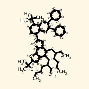 CCCCC(CC)Cc1c(CC(CC)CCCC)c2cc(C(C)(C)C)sc2c2sc(-c3ccc(C(C)(C)C)c4nc(-c5ccccc5)c(-c5ccccc5)nc34)cc12